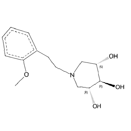 COc1ccccc1CCN1C[C@@H](O)[C@H](O)[C@@H](O)C1